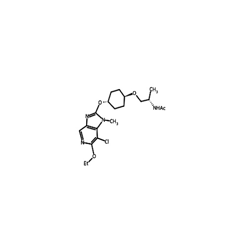 CCOc1ncc2nc(O[C@H]3CC[C@H](OC[C@H](C)NC(C)=O)CC3)n(C)c2c1Cl